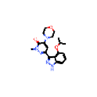 CC(C)Oc1cccc2[nH]nc(-c3cc(N4CCOCC4)c(=O)n(C)n3)c12